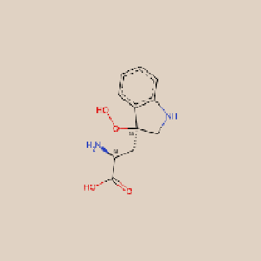 N[C@@H](C[C@@]1(OO)CNc2ccccc21)C(=O)O